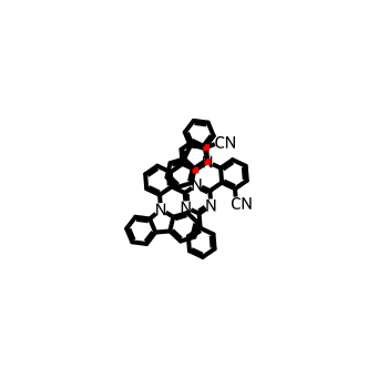 N#Cc1ccc(-c2cccc(-n3c4ccccc4c4ccccc43)c2-c2nc(-c3ccccc3)nc(-c3c(C#N)cccc3-n3c4ccccc4c4ccccc43)n2)cc1